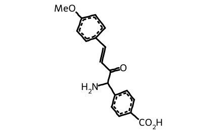 COc1ccc(/C=C/C(=O)C(N)c2ccc(C(=O)O)cc2)cc1